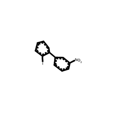 O=[N+]([O-])c1cc[c]c(-c2ccccc2I)c1